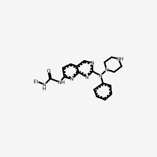 CCNC(=O)Nc1ccc2cnc(N(c3ccccc3)N3CCNCC3)nc2n1